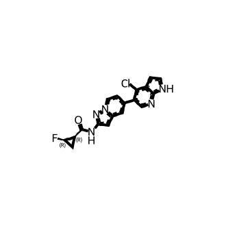 O=C(Nc1cc2cc(-c3cnc4[nH]ccc4c3Cl)ccn2n1)[C@H]1C[C@H]1F